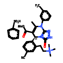 COC(=O)C1=C(C)N(c2cccc(C(F)(F)F)c2)c2n[nH]c(=O)n2[C@@H]1c1ccc(C#N)cc1CC[N+](C)(C)C.O=S(=O)(O)c1ccccc1